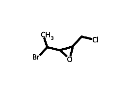 CC(Br)C1OC1CCl